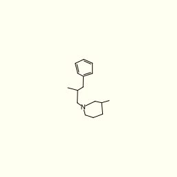 CC1CCCN(CC(C)Cc2ccccc2)C1